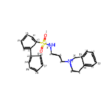 O=S(=O)(NCCCN1CCc2ccccc2C1)c1ccccc1-c1ccccc1